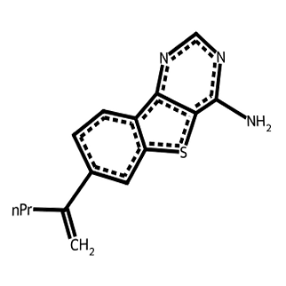 C=C(CCC)c1ccc2c(c1)sc1c(N)ncnc12